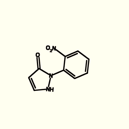 O=c1cc[nH]n1-c1ccccc1[N+](=O)[O-]